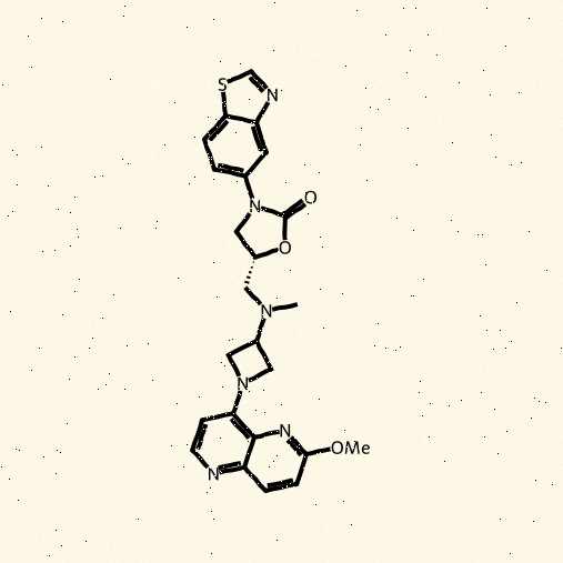 COc1ccc2nccc(N3CC(N(C)C[C@@H]4CN(c5ccc6scnc6c5)C(=O)O4)C3)c2n1